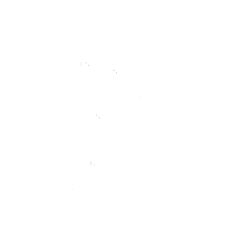 O=C(c1nc(Cl)cs1)N1CCc2[nH]cnc2[C@@H]1c1cc2cccc(F)c2o1